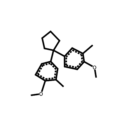 COc1ccc(C2(c3ccc(OC)c(C)c3)CCCC2)cc1C